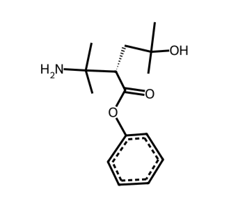 CC(C)(O)C[C@H](C(=O)Oc1ccccc1)C(C)(C)N